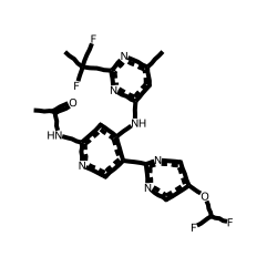 CC(=O)Nc1cc(Nc2cc(C)nc(C(C)(F)F)n2)c(-c2ncc(OC(F)F)cn2)cn1